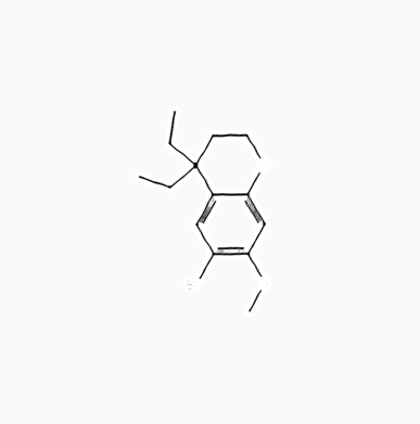 CCC1(CC)CCOc2cc(SC)c(Br)cc21